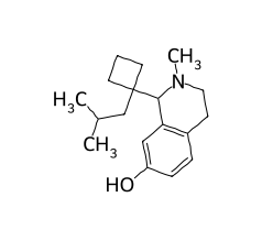 CC(C)CC1(C2c3cc(O)ccc3CCN2C)CCC1